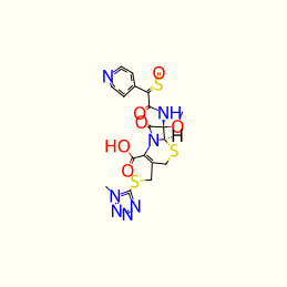 CO[C@@]1(NC(=O)C(=S=O)c2ccncc2)C(=O)N2C(C(=O)O)=C(CSc3nnnn3C)CS[C@@H]21